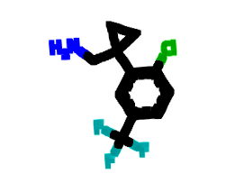 NCC1(c2cc(C(F)(F)F)ccc2Cl)CC1